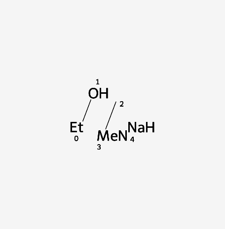 CCO.CNC.[NaH]